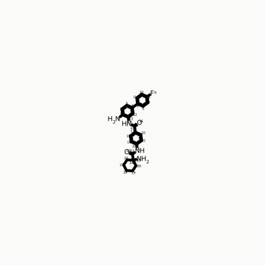 Nc1ccc(-c2ccc(F)cc2)cc1NC(=O)c1ccc(NC(=O)C2(N)CCCCC2)cc1